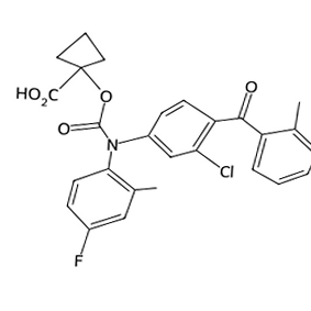 Cc1ccccc1C(=O)c1ccc(N(C(=O)OC2(C(=O)O)CCC2)c2ccc(F)cc2C)cc1Cl